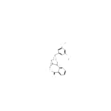 COc1cc(CN2C[C@H]3CNC(=O)c4ccccc4[C@@H]3C2)cc(OC)c1